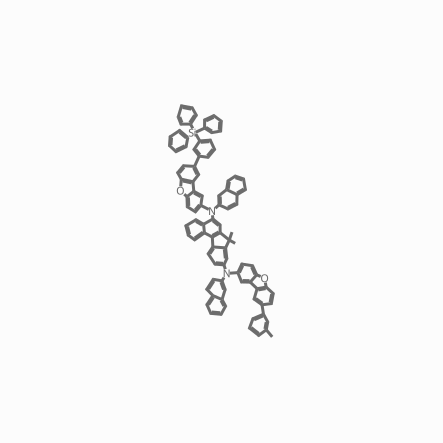 Cc1cccc(-c2ccc3oc4ccc(N(c5ccc6c(c5)C(C)(C)c5cc(N(c7ccc8ccccc8c7)c7ccc8oc9ccc(-c%10cccc([Si](c%11ccccc%11)(c%11ccccc%11)c%11ccccc%11)c%10)cc9c8c7)c7ccccc7c5-6)c5ccc6ccccc6c5)cc4c3c2)c1